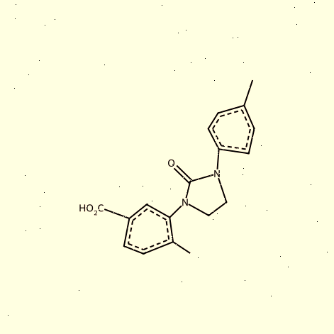 Cc1ccc(N2CCN(c3cc(C(=O)O)ccc3C)C2=O)cc1